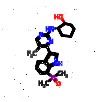 CP(C)(=O)c1cccc2c(-c3nc(N[C@H]4CCCC[C@@H]4O)ncc3C(F)(F)F)c[nH]c12